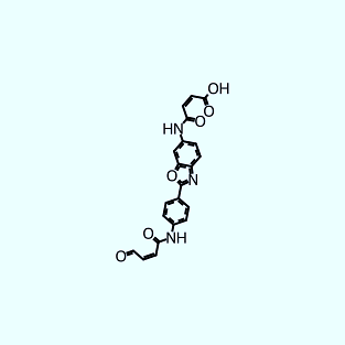 O=C/C=C\C(=O)Nc1ccc(-c2nc3ccc(NC(=O)/C=C\C(=O)O)cc3o2)cc1